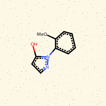 COc1ccccc1-n1n[c]cc1O